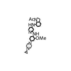 COc1cc(N2CCN(C3CC3)CC2)ccc1Nc1cc(Nc2cccc3c2N(C(C)=O)CC3)ccn1